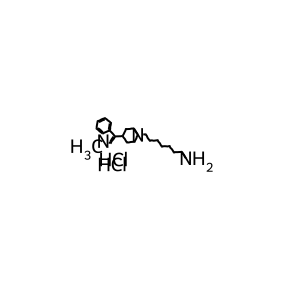 Cl.Cl.Cn1cc(C2CCN(CCCCCCCN)CC2)c2ccccc21